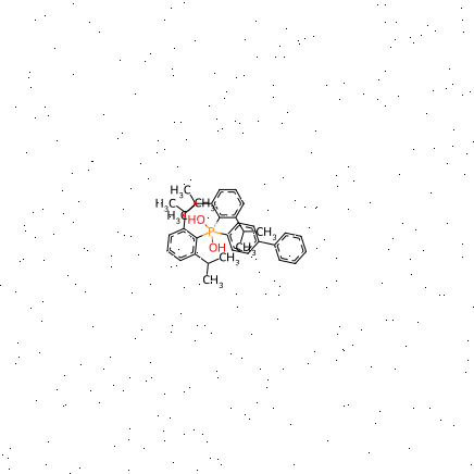 CC(C)c1cccc(C(C)C)c1P(O)(O)(c1ccc(-c2ccccc2)cc1)c1c(C(C)C)cccc1C(C)C